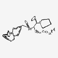 CC(C)(C)[C@@H](NC(=O)c1ccc2ncccc2c1)C(=O)N1CCC[C@@H]1C(=O)O